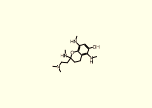 CNc1cc(O)c(NC)c2c1OC(CCN(C)C)(NC)CC2